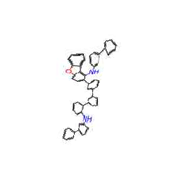 c1ccc(-c2cccc(Nc3ccccc3-c3cccc(-c4cccc(-c5ccc6oc7ccccc7c6c5Nc5cccc(-c6ccccc6)c5)c4)c3)c2)cc1